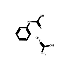 C.NC(O)=S.OC(=S)Nc1ccccc1